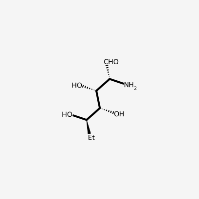 CC[C@@H](O)[C@@H](O)[C@H](O)[C@@H](N)C=O